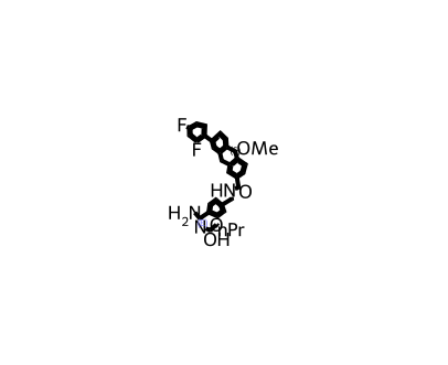 CCCOC(O)/N=C(/N)c1ccc(CNC(=O)c2ccc3c(c2)Cc2cc(-c4ccc(F)cc4F)ccc2[C@@H]3OC)cc1